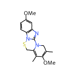 COC1=C(C)CN2C(=C1C)CSn1c2nc2cc(OC)ccc21